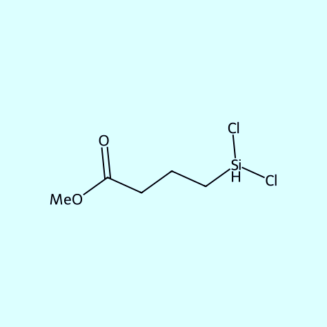 COC(=O)CCC[SiH](Cl)Cl